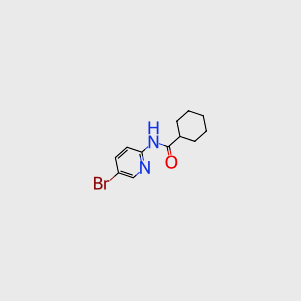 O=C(Nc1ccc(Br)cn1)C1CCCCC1